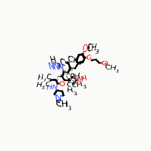 COCCCOc1cc(C[C@@H](C[C@H](N=[N+]=[N-])[C@H](C[C@H](C(=O)NC2CCN(C)C2)C(C)C)CC(C)(C)[Si](C)(C)O)C(C)C)ccc1OC